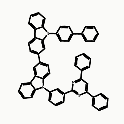 c1ccc(-c2ccc(-n3c4ccccc4c4ccc(-c5ccc6c(c5)c5ccccc5n6-c5cccc(-c6nc(-c7ccccc7)cc(-c7ccccc7)n6)c5)cc43)cc2)cc1